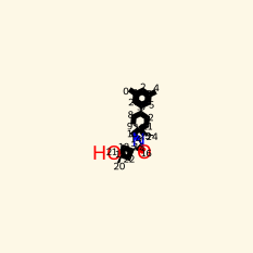 Cc1cc(C)cc([C@H]2CC[C@@]3(CC2)CN(C(=O)[C@H]2C[C@@](C)(O)C2)[C@H]3C)c1